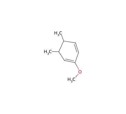 COC1=CC(C)C(C)C=C1